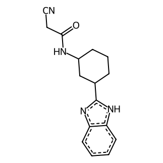 N#CCC(=O)NC1CCCC(c2nc3ccccc3[nH]2)C1